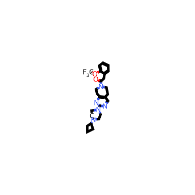 O=C(Cc1ccccc1OC(F)(F)F)N1CCc2cnc(N3CCN(C4CCC4)CC3)nc2CC1